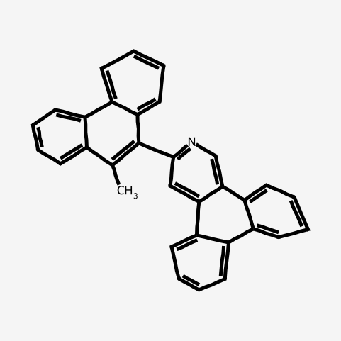 Cc1c(-c2cc3c4ccccc4c4ccccc4c3cn2)c2ccccc2c2ccccc12